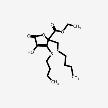 CCCCSCC1(C(=O)OCC)OC(=O)C(O)=C1SCCCC